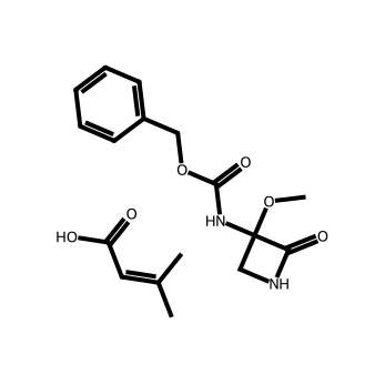 CC(C)=CC(=O)O.COC1(NC(=O)OCc2ccccc2)CNC1=O